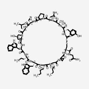 CCCC[C@H]1C(=O)N(C)[C@@H](CCCC)C(=O)NC2(CC2)C(=O)N[C@H](C(=O)NCC(N)=O)CSCC(=O)N[C@@H](Cc2ccc(O)cc2)C(=O)N(C)[C@@H](C)C(=O)N[C@@H](CC(N)=O)C(=O)N2CCC[C@H]2C(=O)N[C@@H](CN)C(=O)N[C@@H](CC(C)C)C(=O)N2C[C@H](O)C[C@H]2C(=O)N[C@@H](Cc2c[nH]c3ccccc23)C(=O)N[C@@H](CCN)C(=O)N[C@@H](Cc2c[nH]c3ccccc23)C(=O)N1C